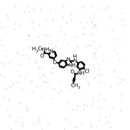 CC#CC(=O)Nc1cc(Nc2nc3cc(Oc4ccnc(C(=O)NC)c4)ccc3[nH]2)ccc1Cl